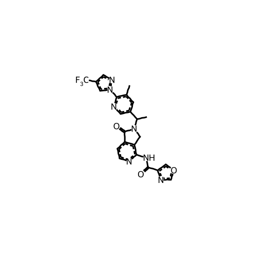 Cc1cc(C(C)N2Cc3c(ccnc3NC(=O)c3cocn3)C2=O)cnc1-n1cc(C(F)(F)F)cn1